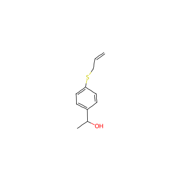 C=CCSc1ccc(C(C)O)cc1